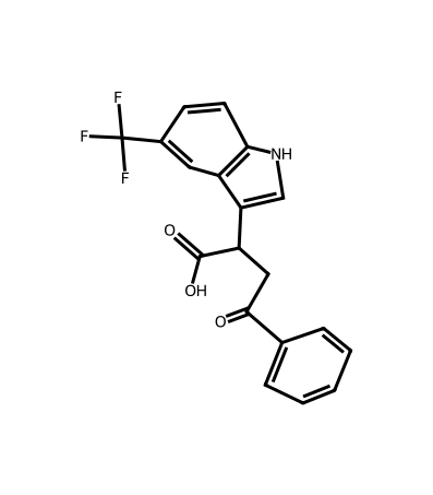 O=C(CC(C(=O)O)c1c[nH]c2ccc(C(F)(F)F)cc12)c1ccccc1